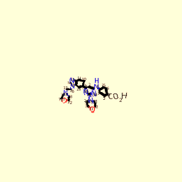 O=C(O)c1ccc(Nc2cc(-c3ccc4ncn(CCN5CCOCC5)c4c3)nc(N3CCOCC3)n2)cc1